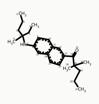 CCCC(C)(CC)Nc1ccc2cc(C(=O)C(C)(C)CCC)ccc2c1